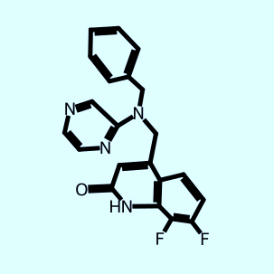 O=c1cc(CN(Cc2ccccc2)c2cnccn2)c2ccc(F)c(F)c2[nH]1